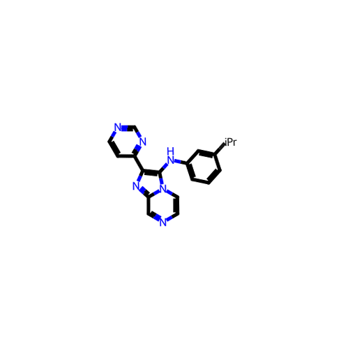 CC(C)c1cccc(Nc2c(-c3ccncn3)nc3cnccn23)c1